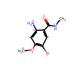 CNC(=O)c1cc(Br)c(OC)cc1N